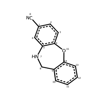 N#Cc1ccc2c(c1)NCc1ccccc1O2